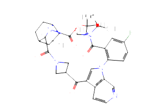 CCN(C(=O)c1cc(F)ccc1-n1cc(C(=O)C2CN(C(=O)[C@H]3C4CCC(CC4)N3C(=O)OC(C)(C)C)C2)c2ccncc21)C(C)C